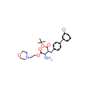 CC(C)(C)OC(=O)C(Cc1ccc(-c2cccc(Cl)c2)cc1)C(N)C(=O)OCCN1CCOCC1